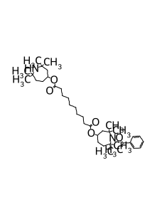 CC(ON1C(C)(C)CCC(OC(=O)CCCCCCCCC(=O)OC2CCC(C)(C)NC(C)(C)C2)CC1(C)C)c1ccccc1